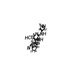 Cl.Cn1cc(Nc2nccc(C3=CC4CCC(C3)N4C3(CC#N)CNC3)n2)cn1